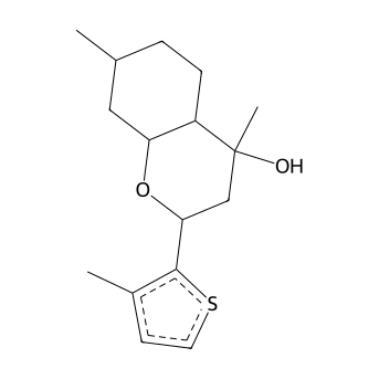 Cc1ccsc1C1CC(C)(O)C2CCC(C)CC2O1